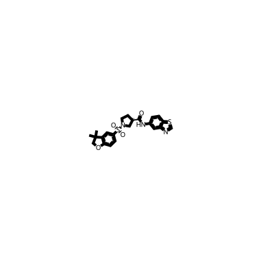 CC1(C)COc2ccc(S(=O)(=O)N3CC[C@@H](C(=O)Nc4ccc5scnc5c4)C3)cc21